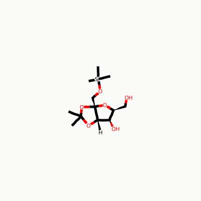 CC1(C)O[C@H]2[C@H](O)[C@H](CO)O[C@@]2(CO[Si](C)(C)C)O1